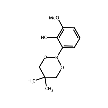 COc1cccc(B2OCC(C)(C)CO2)c1C#N